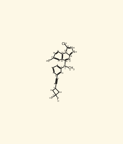 CN(c1cccc(C#CC2CC(F)(F)C2)c1)c1nc2nnc(Cl)n2c2ccc(F)cc12